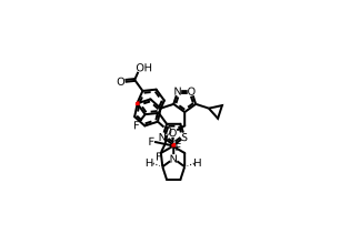 O=C(O)c1ccc(-c2csc(N3[C@@H]4CC[C@H]3C[C@@H](OCc3c(-c5ccccc5OC(F)(F)F)noc3C3CC3)C4)n2)c(F)c1